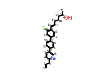 C=CCc1ccc(-c2ccc(-c3ccc(/C=C/CCCC(C)O)c(F)c3)cc2)cn1